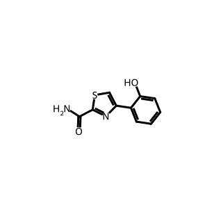 NC(=O)c1nc(-c2ccccc2O)cs1